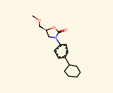 COC[C@@H]1CN(c2ccc(C3CCCCC3)cc2)C(=O)O1